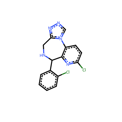 Clc1ccc2c(n1)C(c1ccccc1Cl)NCc1nncn1-2